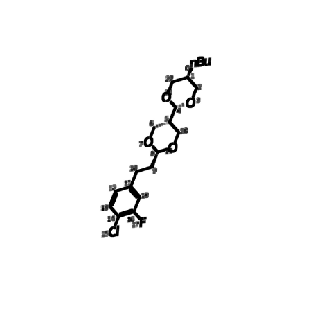 CCCC[C@H]1CO[C@H]([C@H]2CO[C@H](CCc3ccc(Cl)c(F)c3)OC2)OC1